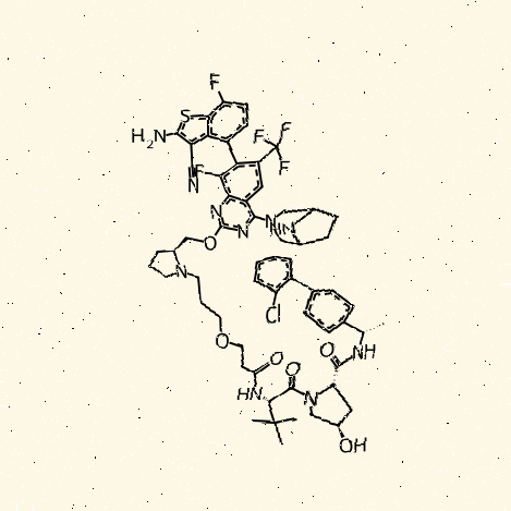 C[C@H](NC(=O)[C@@H]1C[C@@H](O)CN1C(=O)[C@@H](NC(=O)CCOCCCN1CCC[C@H]1COc1nc(N2CC3CCC(C2)N3)c2cc(C(F)(F)F)c(-c3ccc(F)c4sc(N)c(C#N)c34)c(F)c2n1)C(C)(C)C)c1ccc(-c2ccccc2Cl)cc1